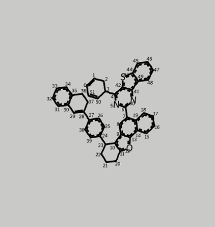 C1=CCC(c2nc(-c3cc4c5c(oc4c4ccccc34)CCCC5c3ccc(C4=Cc5ccccc5CC4)cc3)nc3c2sc2ccccc23)C=C1